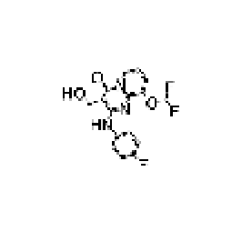 O=c1c(CO)c(Nc2ccc(F)cc2)nc2c(OC(F)F)cccn12